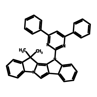 CC1(C)c2ccccc2-n2cc3c4ccccc4n(-c4nc(-c5ccccc5)cc(-c5ccccc5)n4)c3c21